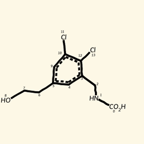 O=C(O)NCc1cc(CCO)cc(Cl)c1Cl